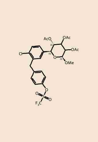 CO[C@H]1O[C@@H](c2ccc(Cl)c(Cc3ccc(OS(=O)(=O)C(F)(F)F)cc3)c2)[C@H](OC(C)=O)C(OC(C)=O)C1OC(C)=O